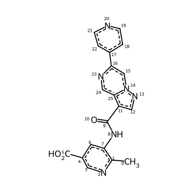 Cc1ncc(C(=O)O)cc1NC(=O)c1cnn2cc(-c3ccncc3)ncc12